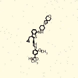 CNC(=O)c1ccc(NCC#Cc2sc3c(NC4CCC(N5CC6(CCOCC6)C5)CC4)cccc3c2CC2CC2)c(OC)c1